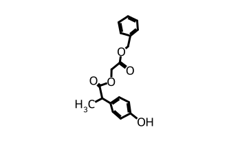 CC(C(=O)OCC(=O)OCc1ccccc1)c1ccc(O)cc1